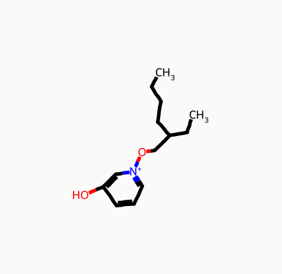 CCCCC(CC)CO[n+]1cccc(O)c1